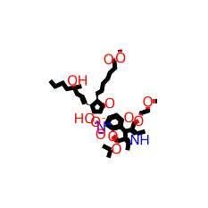 CCCCC(C)(O)C/C=C/[C@H]1[C@H](O)CC(=O)[C@@H]1CCCCCCC(=O)OC.COCCOC(=O)C1=C(C)NC(C)=C(C(=O)OC(C)C)C1c1cccc([N+](=O)[O-])c1